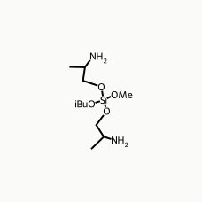 CO[Si](OCC(C)C)(OCC(C)N)OCC(C)N